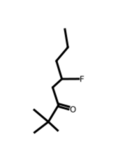 CCCC(F)CC(=O)C(C)(C)C